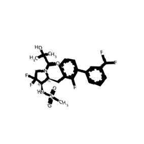 CC(C)(O)C(=O)N1CC(F)(F)[C@H](NS(C)(=O)=O)[C@@H]1Cc1cccc(-c2cccc(C(F)F)c2)c1F